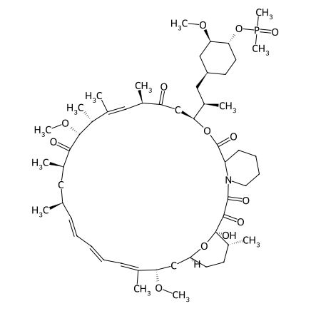 CO[C@H]1C[C@@H]2CC[C@@H](C)[C@@](O)(O2)C(=O)C(=O)N2CCCCC2C(=O)O[C@H]([C@H](C)C[C@@H]2CC[C@@H](OP(C)(C)=O)[C@H](OC)C2)CC(=O)[C@H](C)/C=C(\C)[C@@H](C)[C@@H](OC)C(=O)[C@H](C)C[C@H](C)/C=C/C=C/C=C/1C